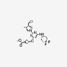 COC(=O)N1CC(Oc2cc(NC3CCC(F)(F)CC3)nc(-n3cc(C)c(C=O)n3)n2)C1